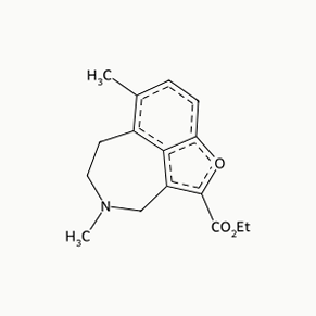 CCOC(=O)c1oc2ccc(C)c3c2c1CN(C)CC3